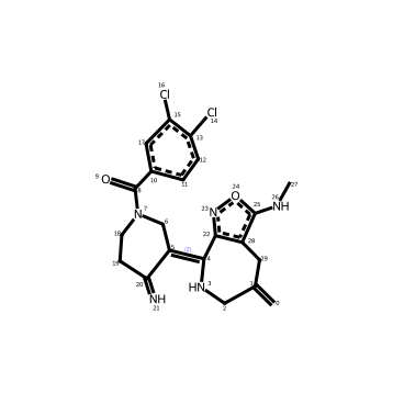 C=C1CN/C(=C2/CN(C(=O)c3ccc(Cl)c(Cl)c3)CCC2=N)c2noc(NC)c2C1